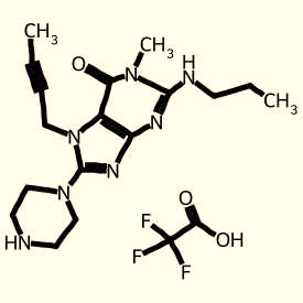 CC#CCn1c(N2CCNCC2)nc2nc(NCCC)n(C)c(=O)c21.O=C(O)C(F)(F)F